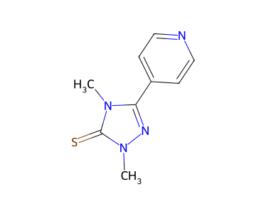 Cn1nc(-c2ccncc2)n(C)c1=S